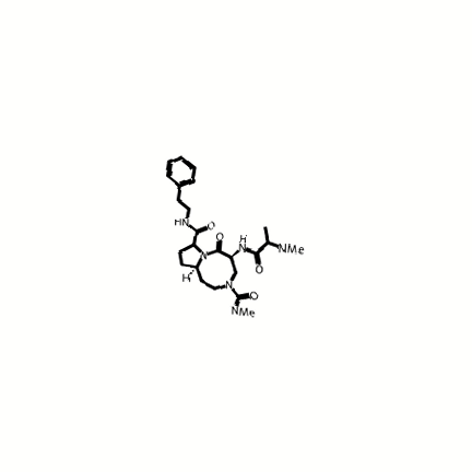 CNC(=O)N1CC[C@H]2CCC(C(=O)NCCc3ccccc3)N2C(=O)[C@@H](NC(=O)C(C)NC)C1